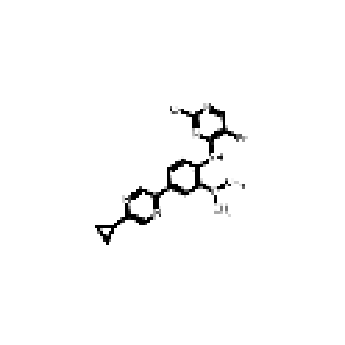 CP(C)c1cc(-c2cnc(C3CC3)cn2)ccc1Nc1nc(Cl)ncc1Br